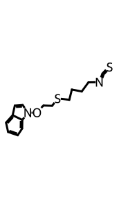 S=C=NCCCCSCCOn1ccc2ccccc21